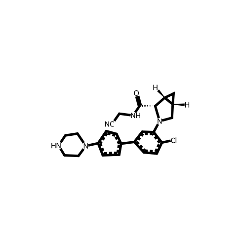 N#CCNC(=O)[C@@H]1[C@@H]2C[C@@H]2CN1c1cc(-c2ccc(N3CCNCC3)cc2)ccc1Cl